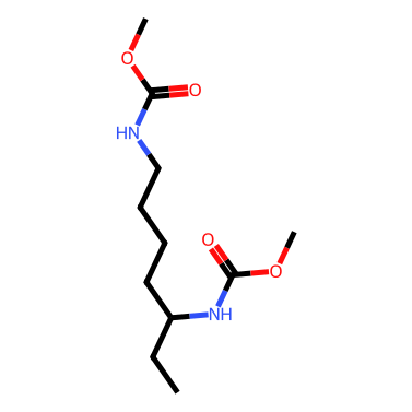 CCC(CCCCNC(=O)OC)NC(=O)OC